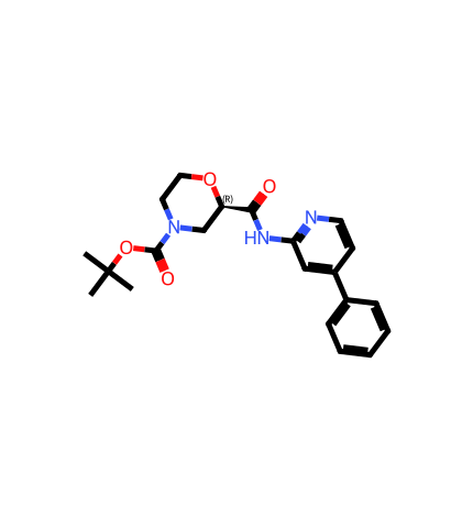 CC(C)(C)OC(=O)N1CCO[C@@H](C(=O)Nc2cc(-c3ccccc3)ccn2)C1